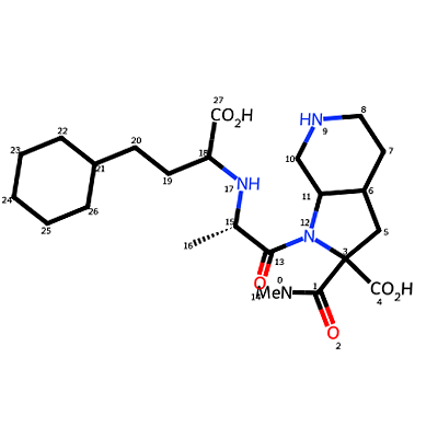 CNC(=O)C1(C(=O)O)CC2CCNCC2N1C(=O)[C@H](C)NC(CCC1CCCCC1)C(=O)O